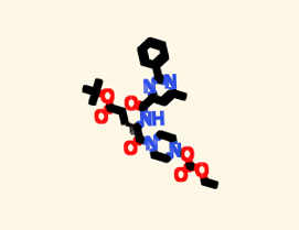 CCOC(=O)ON1CCN(C(=O)[C@H](CCC(=O)OC(C)(C)C)NC(=O)c2cc(C)nc(-c3ccccc3)n2)CC1